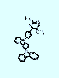 Cc1ncc(C)c(-c2ccc(-n3c4ccccc4c4cc(-n5c6ccccc6c6ccccc65)ccc43)cc2)n1